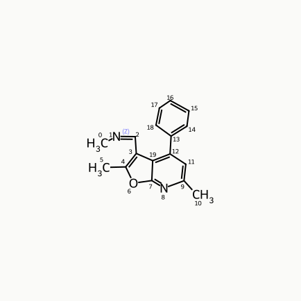 C/N=C\c1c(C)oc2nc(C)cc(-c3ccccc3)c12